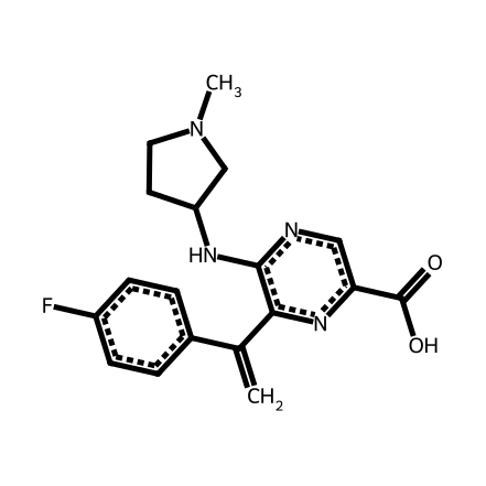 C=C(c1ccc(F)cc1)c1nc(C(=O)O)cnc1NC1CCN(C)C1